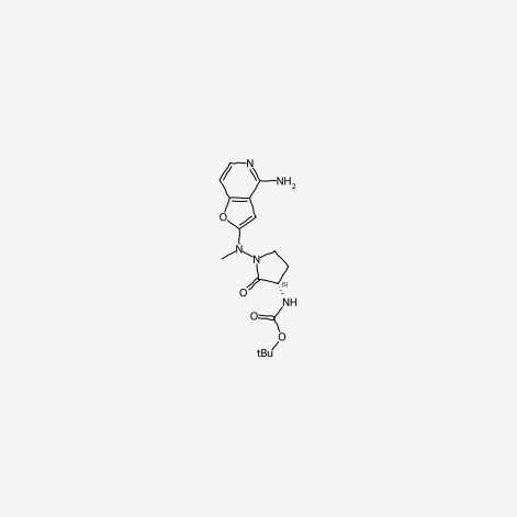 CN(c1cc2c(N)nccc2o1)N1CC[C@H](NC(=O)OC(C)(C)C)C1=O